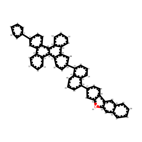 c1ccc(-c2ccc3c(c2)c2ccccc2c2c4ccc(-c5cccc6c(-c7ccc8c(c7)oc7cc9ccccc9cc78)cccc56)cc4c4ccccc4c32)cc1